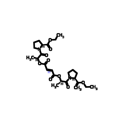 C=C(OCC)[C@@H]1CCCN1C(=O)[C@H](C)OC(=O)/C=C/C(=O)O[C@@H](C)C(=O)N1CCC[C@H]1C(=O)OCC